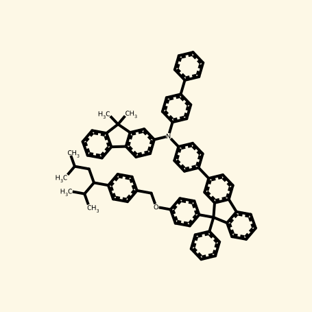 CC(C)CC(c1ccc(COc2ccc(C3(c4ccccc4)c4ccccc4-c4ccc(-c5ccc(N(c6ccc(-c7ccccc7)cc6)c6ccc7c(c6)C(C)(C)c6ccccc6-7)cc5)cc43)cc2)cc1)C(C)C